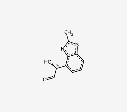 Cc1nc2c([C@H](O)C=O)cccc2s1